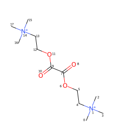 C[N+](C)(C)CCOC(=O)C(=O)OCC[N+](C)(C)C